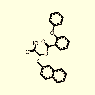 O=C(O[C@H](Cc1ccc2ccccc2c1)C(=O)O)c1ccccc1Oc1ccccc1